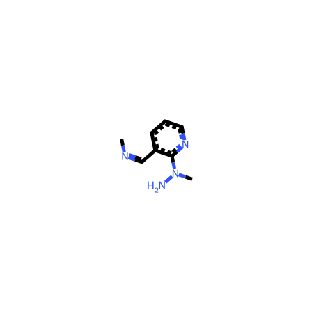 C/N=C\c1cccnc1N(C)N